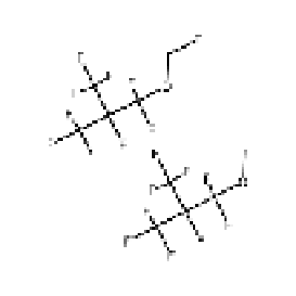 COC(F)(F)C(F)(C(F)(F)F)C(F)(F)F.FCOC(F)(F)C(F)(C(F)(F)F)C(F)(F)F